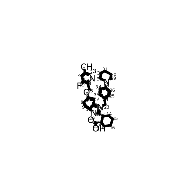 Cc1cnc(COc2ccc3nc([C@H]4CCCC[C@H]4C(=O)O)n(Cc4ccc(N5CCCCC5)cc4)c3c2)c(F)c1